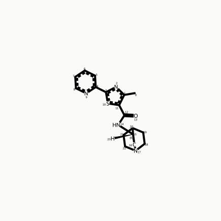 Cc1nc(-c2ccccn2)sc1C(=O)N[C@H]1CN2CCC1CC2